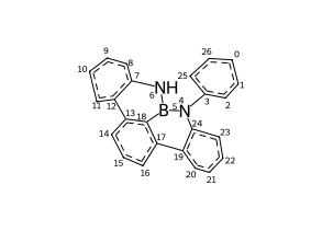 c1ccc(N2B3Nc4ccccc4-c4cccc(c43)-c3ccccc32)cc1